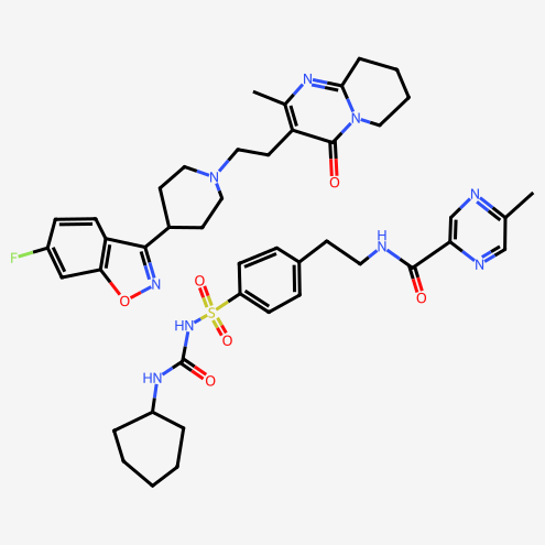 Cc1cnc(C(=O)NCCc2ccc(S(=O)(=O)NC(=O)NC3CCCCC3)cc2)cn1.Cc1nc2n(c(=O)c1CCN1CCC(c3noc4cc(F)ccc34)CC1)CCCC2